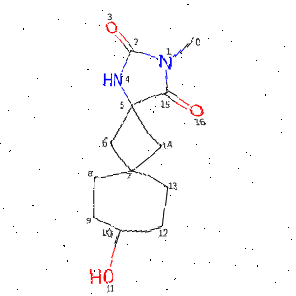 CN1C(=O)NC2(CC3(CCC(O)CC3)C2)C1=O